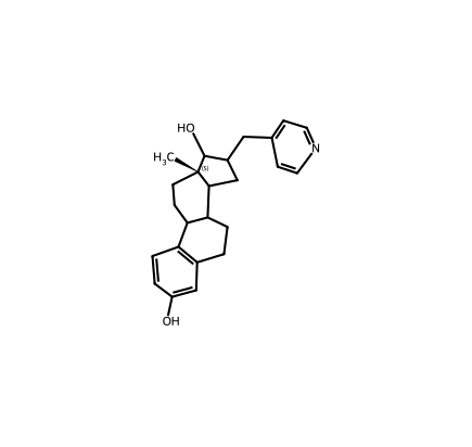 C[C@]12CCC3c4ccc(O)cc4CCC3C1CC(Cc1ccncc1)C2O